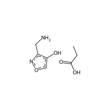 CCC(=O)O.NCc1nocc1O